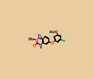 COc1cc(F)cc(Oc2ccc(N)c(N(C)C(=O)OC(C)(C)C)c2)c1